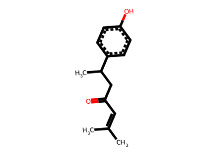 CC(C)=CC(=O)CC(C)c1ccc(O)cc1